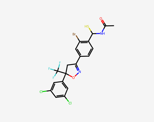 CC(=O)NC(S)c1ccc(C2=NOC(c3cc(Cl)cc(Cl)c3)(C(F)(F)F)C2)cc1Br